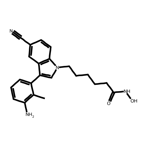 Cc1c(N)cccc1-c1cn(CCCCCC(=O)NO)c2ccc(C#N)cc12